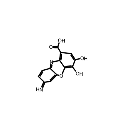 N=c1ccc2nc3c(C(=O)O)cc(O)c(O)c3oc-2c1